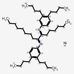 CCCCCCCCC(=N\c1ccc(CCCC)c(CCCC)c1)/C(CCCCCC)=N/c1ccc(CCCC)c(CCCC)c1.[Ni]